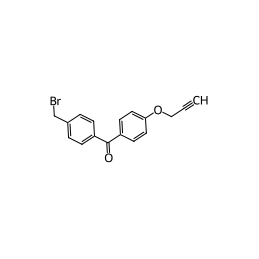 C#CCOc1ccc(C(=O)c2ccc(CBr)cc2)cc1